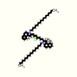 CCCCCCCCCCCCCCCCCCN1/C(=C/C=C/C(Cl)=C/C=C/C2=[N+](CCCCCCCCCCCCCCCCCC)c3ccc4ccccc4c3C2(C)C)C(C)(C)c2c1ccc1ccccc21